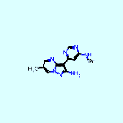 Cc1cnc2c(-c3cc(NC(C)C)ncn3)c(N)nn2c1